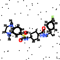 C[C@@H](NC(=O)C1CCC(NS(=O)(=O)c2ccc3c(c2)N(C)CCN3C)CC1)c1ccc(F)cc1